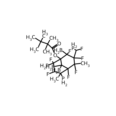 BC1(F)C(F)(C(F)P)C(C)(F)C2(F)C(C)(P)C(F)C(F)(P)C1(OC(=O)C(C)(C)C(C)(C)C)C2(B)P